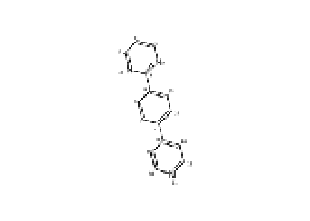 c1cnc(-c2ccc(-c3ccncc3)cc2)nc1